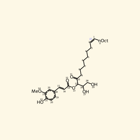 CCCCCCCC/C=C\CCCCCCCC(=O)C(OC(=O)C=Cc1ccc(O)c(OC)c1)C(O)CO